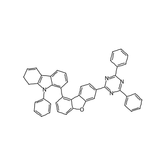 C1=Cc2c(n(-c3ccccc3)c3c(-c4cccc5oc6cc(-c7nc(-c8ccccc8)nc(-c8ccccc8)n7)ccc6c45)cccc23)CC1